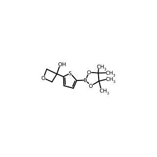 CC1(C)OB(c2ccc(C3(O)COC3)s2)OC1(C)C